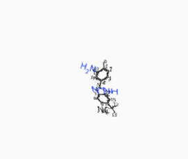 Cc1ccc(-c2nc3ccc(C(C)(C)C#N)cc3[nH]2)cc1N